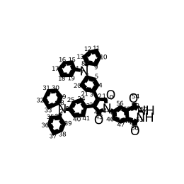 O=C1C(c2ccc(N(c3ccccc3)c3ccccc3)cc2)=C(c2ccc(N(c3ccccc3)c3ccccc3)cc2)C(=O)N1c1ccc2c(=O)[nH][nH]c(=O)c2c1